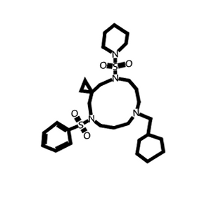 O=S(=O)(c1ccccc1)N1CCCN(CC2CCCCC2)CCCN(S(=O)(=O)N2CCCCC2)CC2(CC2)C1